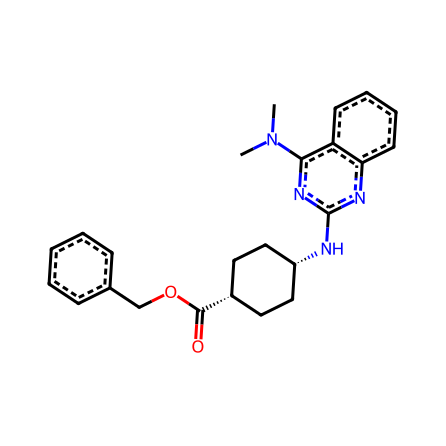 CN(C)c1nc(N[C@H]2CC[C@@H](C(=O)OCc3ccccc3)CC2)nc2ccccc12